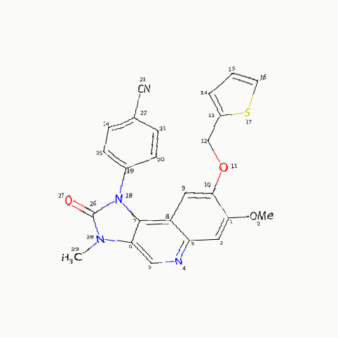 COc1cc2ncc3c(c2cc1OCc1cccs1)n(-c1ccc(C#N)cc1)c(=O)n3C